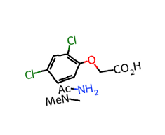 CC(N)=O.CNC.O=C(O)COc1ccc(Cl)cc1Cl